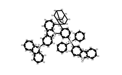 c1ccc([Si](c2ccccc2)(c2ccc3c(c2)-n2c4ccc(-n5c6ccccc6c6ccccc65)cc4c4cccc(c42)C32C3CC4CC(C3)CC2C4)c2ccc3oc4ccccc4c3c2)cc1